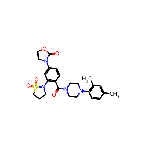 Cc1ccc(N2CCN(C(=O)c3ccc(N4CCOC4=O)cc3N3CCCS3(=O)=O)CC2)c(C)c1